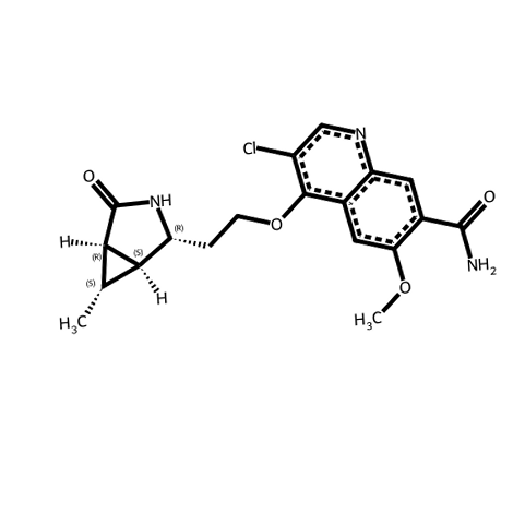 COc1cc2c(OCC[C@H]3NC(=O)[C@@H]4[C@@H](C)[C@@H]43)c(Cl)cnc2cc1C(N)=O